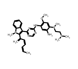 C=C(/C=C\C=C/C)c1c(-c2ncnc(Nc3cc(N)c(N(C)CCN(C)C)cc3OC)n2)c2ccccc2n1C